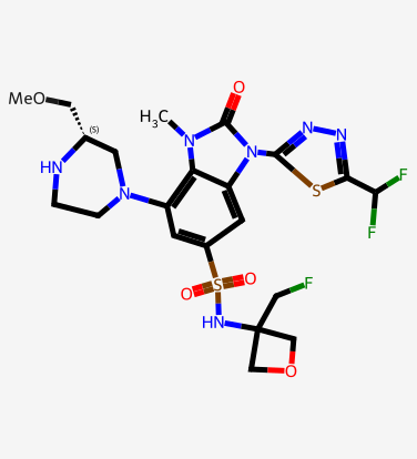 COC[C@@H]1CN(c2cc(S(=O)(=O)NC3(CF)COC3)cc3c2n(C)c(=O)n3-c2nnc(C(F)F)s2)CCN1